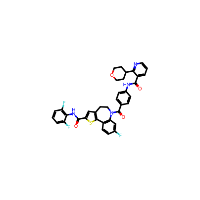 O=C(Nc1c(F)cccc1F)c1cc2c(s1)-c1ccc(F)cc1N(C(=O)c1ccc(NC(=O)c3cccnc3C3CCOCC3)cc1)CC2